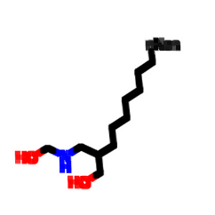 CCCCCCCCCCCCCCCCC(CO)CNCO